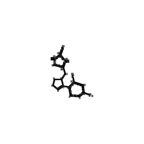 Fc1ccc(C2=CCCC2Cc2c[nH]c(=S)[nH]2)c(F)c1